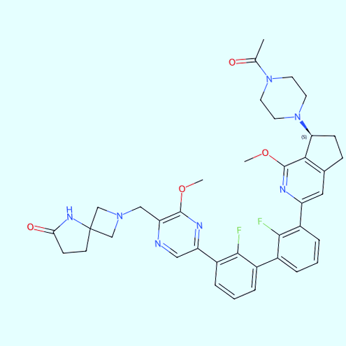 COc1nc(-c2cccc(-c3cccc(-c4cc5c(c(OC)n4)[C@@H](N4CCN(C(C)=O)CC4)CC5)c3F)c2F)cnc1CN1CC2(CCC(=O)N2)C1